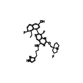 CCc1c(F)ccc2cc(O)cc(-c3ncc4c(NCCCc5cc[nH]n5)nc(OC[C@@]56CCCN5C[C@H](F)C6)nc4c3F)c12